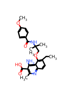 CCc1ccc2nc(C)c(C(=O)O)c(N)c2c1OCC(C)(C)NC(=O)c1ccc(OC)cc1